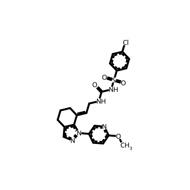 COc1ccc(-n2ncc3c2C(=CCNC(=O)NS(=O)(=O)c2ccc(Cl)cc2)CCC3)cn1